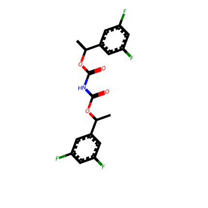 CC(OC(=O)NC(=O)OC(C)c1cc(F)cc(F)c1)c1cc(F)cc(F)c1